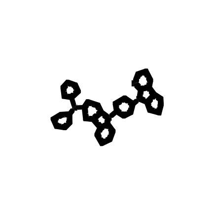 c1ccc(N(c2ccccc2)c2ccc3c(c2)c2ccccc2n3-c2ccc(-n3c4ccccc4c4cccnc43)cc2)cc1